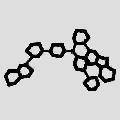 c1ccc(-c2ccc(N(c3ccc(-c4cccc(-c5ccc6ccccc6c5)c4)cc3)c3ccccc3-c3ccc4c(c3)sc3ccccc34)cc2)cc1